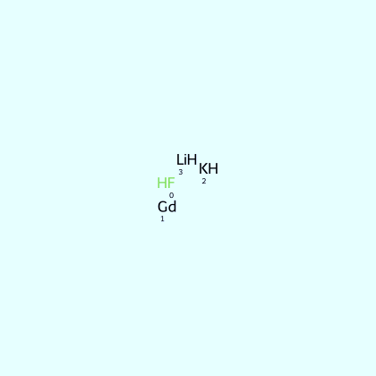 F.[Gd].[KH].[LiH]